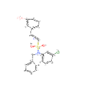 Bc1cccc(/C=C/S(=O)(=O)N(Cc2ccccc2)c2cccc(Cl)c2)c1